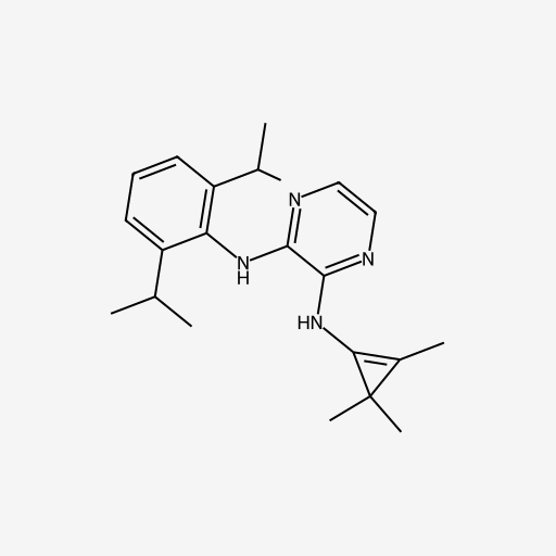 CC1=C(Nc2nccnc2Nc2c(C(C)C)cccc2C(C)C)C1(C)C